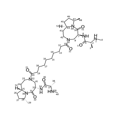 CN[C@@H](C)C(=O)N[C@H]1CN(C(=O)CCCCCCCCC(=O)N2CC[C@H]3CC[C@@H](C)N3C(=O)[C@@H](NC(=O)[C@H](C)NC)C2)CC[C@H]2CC[C@@H](C)N2C1=O